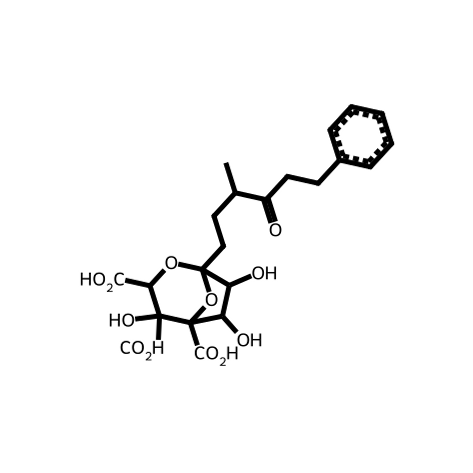 CC(CCC12OC(C(=O)O)C(O)(C(=O)O)C(C(=O)O)(O1)C(O)C2O)C(=O)CCc1ccccc1